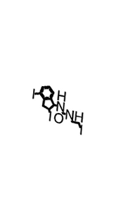 O=C(NCCI)NC1c2cccc(I)c2CC1I